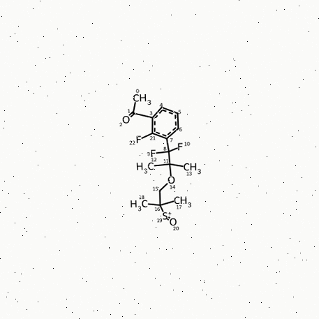 CC(=O)c1cccc(C(F)(F)C(C)(C)OCC(C)(C)[S+]=O)c1F